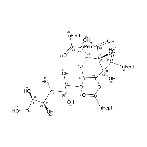 CCCCCCCC(=O)O[C@@H]1[C@H](OC(O)[C@H](O)[C@@H](O)[C@@H](O)[C@H](O)CO)O[C@H](C(O)C(=O)CCCCC)[C@](O)(C(=O)CCCCC)[C@@]1(O)C(=O)CCCCC